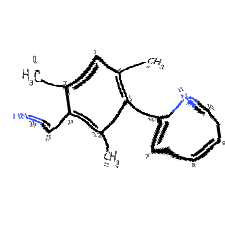 Cc1cc(C)c(-c2ccccn2)c(C)c1C=N